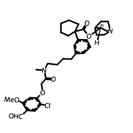 COc1cc(OCC(=O)N(C)CCCCc2cccc(C3(C(=O)O[C@H]4CN5CCC4CC5)CCCCC3)c2)c(Cl)cc1C=O